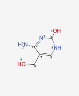 NC1=NC(O)NC=C1CO